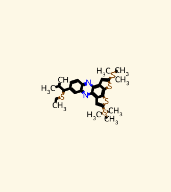 CCSC(c1ccc2nc3c4cc(S(C)(C)C)sc4c4sc(S(C)(C)C)cc4c3nc2c1)C(C)C